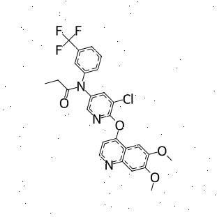 CCC(=O)N(c1cccc(C(F)(F)F)c1)c1cnc(Oc2ccnc3cc(OC)c(OC)cc23)c(Cl)c1